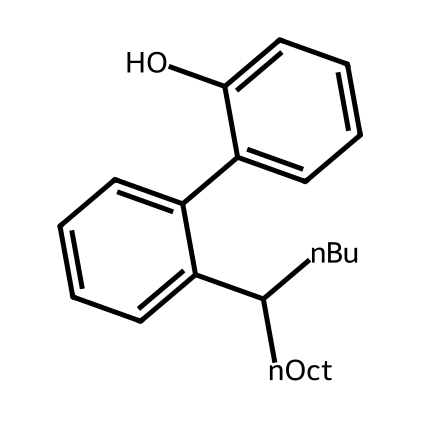 CCCCCCCCC(CCCC)c1ccccc1-c1ccccc1O